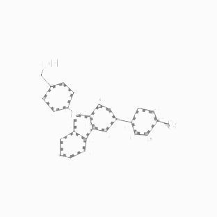 OCc1ccc(-n2c3ccccc3c3cc(-c4ccc(Br)cc4)ccc32)cc1